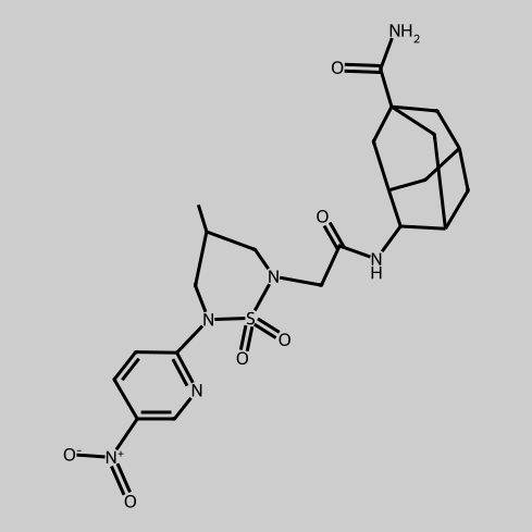 CC1CN(CC(=O)NC2C3CC4CC2CC(C(N)=O)(C4)C3)S(=O)(=O)N(c2ccc([N+](=O)[O-])cn2)C1